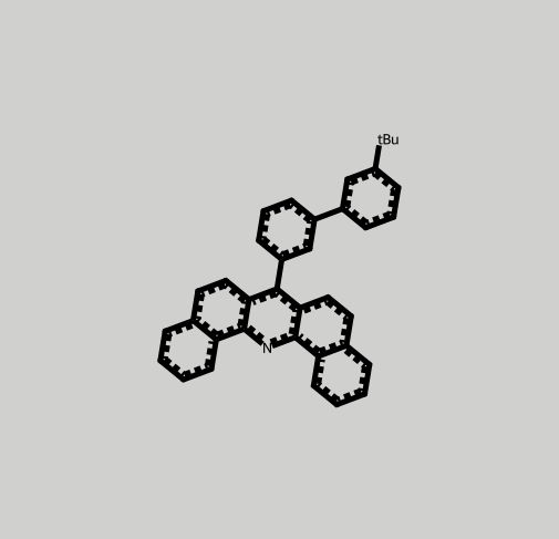 CC(C)(C)c1cccc(-c2cccc(-c3c4ccc5ccccc5c4nc4c3ccc3ccccc34)c2)c1